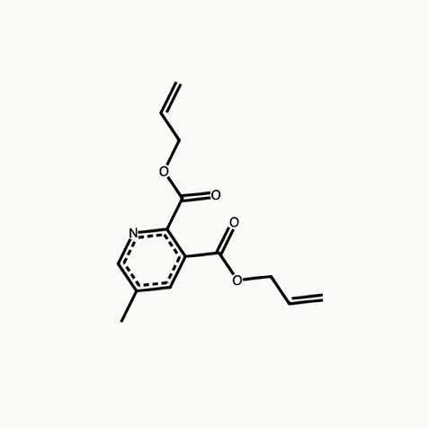 C=CCOC(=O)c1cc(C)cnc1C(=O)OCC=C